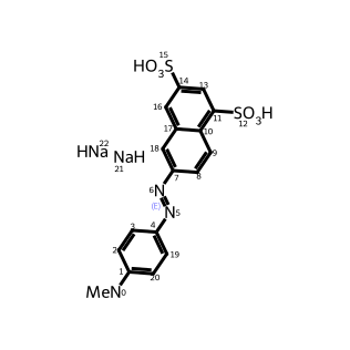 CNc1ccc(/N=N/c2ccc3c(S(=O)(=O)O)cc(S(=O)(=O)O)cc3c2)cc1.[NaH].[NaH]